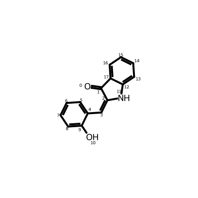 O=C1C(=Cc2ccccc2O)Nc2ccccc21